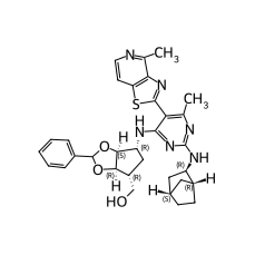 Cc1nc(N[C@@H]2C[C@H]3CC[C@@H]2C3)nc(N[C@@H]2C[C@H](CO)[C@H]3OC(c4ccccc4)O[C@H]32)c1-c1nc2c(C)nccc2s1